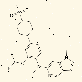 CN(c1cc2c(cn1)ncn2C)c1ccc(C2CCN(S(C)(=O)=O)CC2)cc1OC(F)F